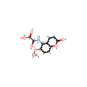 COc1ccc2oc(=O)ccc2c1NC(=O)C(=O)O